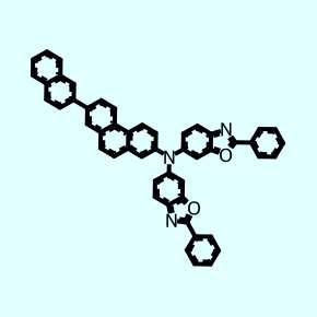 c1ccc(-c2nc3ccc(N(c4ccc5c(ccc6cc(-c7ccc8ccccc8c7)ccc65)c4)c4ccc5nc(-c6ccccc6)oc5c4)cc3o2)cc1